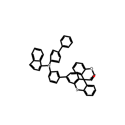 c1ccc(-c2ccc(N(c3cccc(-c4ccc5c(c4)Sc4ccccc4C54c5ccccc5Oc5ccccc54)c3)c3cccc4ccccc34)cc2)cc1